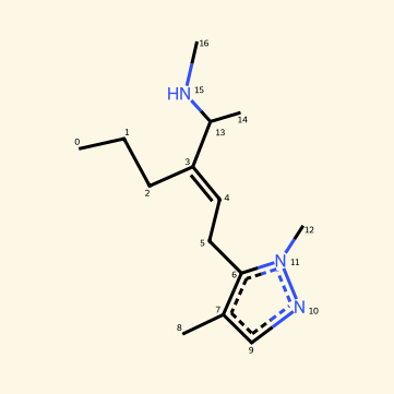 CCC/C(=C\Cc1c(C)cnn1C)C(C)NC